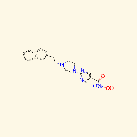 O=C(NO)c1cnc(N2CCN(CCc3ccc4ccccc4c3)CC2)nc1